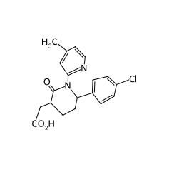 Cc1ccnc(N2C(=O)C(CC(=O)O)CCC2c2ccc(Cl)cc2)c1